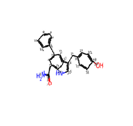 NC(=O)c1cc(-c2ccccc2)cc2c(Cc3ccc(O)cc3)c[nH]c12